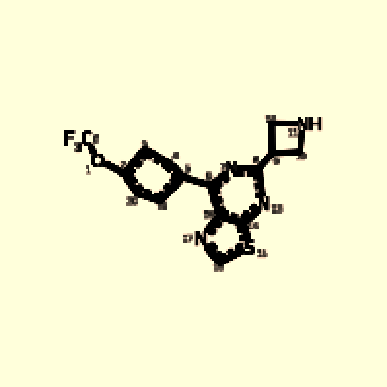 FC(F)(F)Oc1ccc(-c2nc(C3CNC3)nc3scnc23)cc1